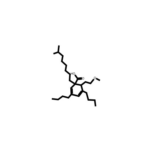 CCCCC1=CC(CCCCCCC(C)C)(C(=O)O)C(CCOC)C(CCCC)=C1